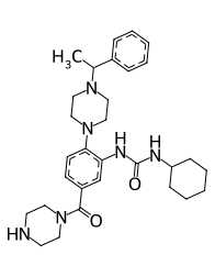 CC(c1ccccc1)N1CCN(c2ccc(C(=O)N3CCNCC3)cc2NC(=O)NC2CCCCC2)CC1